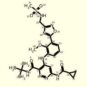 BC(B)(B)NC(=O)c1nnc(NC(=O)C2CC2)cc1Nc1cccc(-c2nc(CNS(C)(=O)=O)no2)c1OC